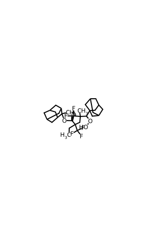 CCC(CC(C)(C(OO)C12CC3CC(CC(C3)C1)C2)C(F)(F)F)(C(=O)OC1(C)C2CC3CC(C2)CC1C3)C(F)(F)F